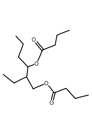 CCCC(=O)OCC(CC)C(CCC)OC(=O)CCC